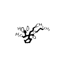 CCCCOC(=O)C(CCCC)(C1CCCC1)C(CC)C(=O)O